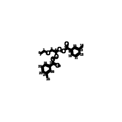 [CH2]COC[C](OOC(=O)c1cccc(C)c1)OOC(=O)c1cccc(C)c1